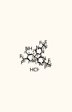 Cl.NCC1=CC(c2cnc(C(F)(F)F)nc2)(c2cnc(C(F)(F)F)nc2)NC=C1C(F)F